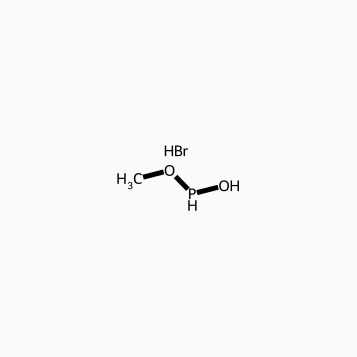 Br.COPO